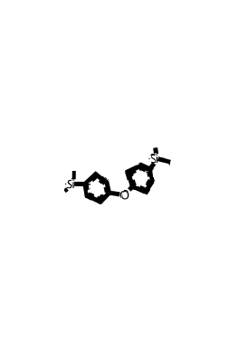 C[Si](C)c1ccc(Oc2ccc([Si](C)C)cc2)cc1